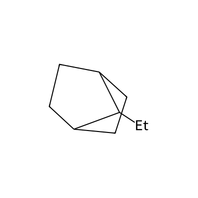 CCC1C2CCC1CC2